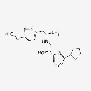 COc1ccc(C[C@@H](C)NC[C@H](O)c2cccc(C3CCCC3)n2)cc1